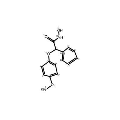 CCCOc1ccc(OC(C(=O)NO)c2ccccc2)cc1